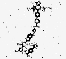 COC(=O)C[C@@H]1N=C(c2ccc(N3CCC(C(=O)N[C@H]4C[C@@H](Oc5ccc6oc(C(=O)N[C@H](C(=O)N7C[C@H](O)C[C@H]7C(=O)N[C@@H](C)c7ccc(-c8scnc8C)cc7)C(C)(C)C)cc6c5)C4)CC3)cc2)c2c(sc(C)c2C)-n2c(C)nnc21